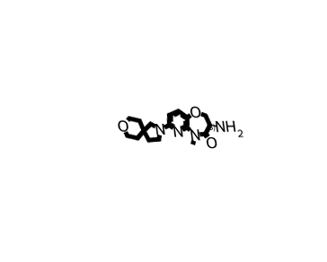 CN1C(=O)[C@@H](N)COc2ccc(N3CCC4(CCOCC4)C3)nc21